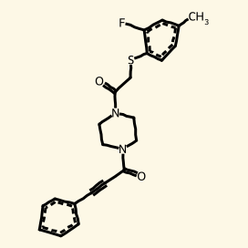 Cc1ccc(SCC(=O)N2CCN(C(=O)C#Cc3ccccc3)CC2)c(F)c1